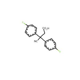 N#CC(CC(=O)O)(c1ccc(F)cc1)c1ccc(F)cc1